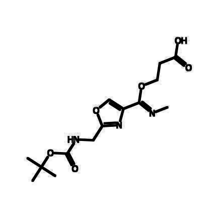 C/N=C(\OCCC(=O)O)c1coc(CNC(=O)OC(C)(C)C)n1